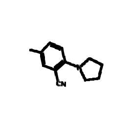 Cc1ccc(N2CCCC2)c(C#N)c1